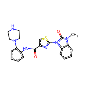 Cn1c(=O)n(-c2nc(C(=O)Nc3ccccc3N3CCNCC3)cs2)c2ccccc21